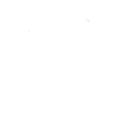 CC(C(=O)O)C1CCNC(Cc2ccc(C(F)(F)F)cc2)C1